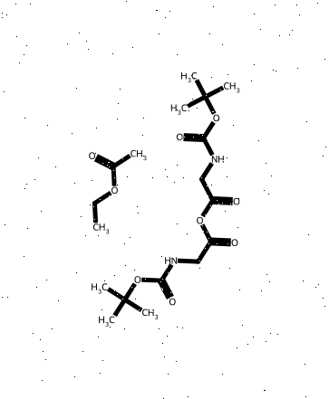 CC(C)(C)OC(=O)NCC(=O)OC(=O)CNC(=O)OC(C)(C)C.CCOC(C)=O